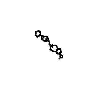 COc1ccc2c(c1)CCN(CCN1CCN(c3ccccc3)CC1)CC2